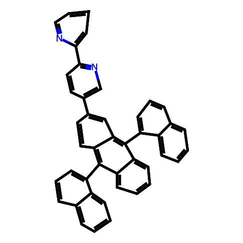 c1ccc(-c2ccc(-c3ccc4c(-c5cccc6ccccc56)c5ccccc5c(-c5cccc6ccccc56)c4c3)cn2)nc1